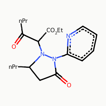 CCCC(=O)C(C(=O)OCC)N1C(CCC)CC(=O)N1c1ccccn1